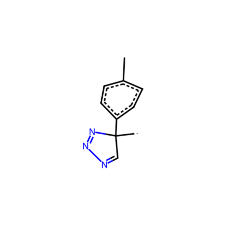 [CH2]C1(c2ccc(C)cc2)C=NN=N1